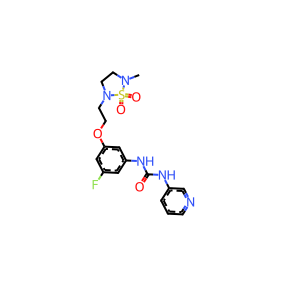 CN1CCN(CCOc2cc(F)cc(NC(=O)Nc3cccnc3)c2)S1(=O)=O